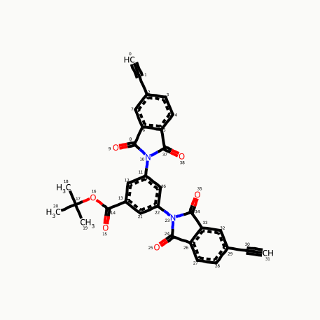 C#Cc1ccc2c(c1)C(=O)N(c1cc(C(=O)OC(C)(C)C)cc(N3C(=O)c4ccc(C#C)cc4C3=O)c1)C2=O